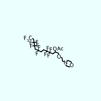 CC(=O)OC(COCCN1CCOCC1)CC(F)(F)C(F)(F)CCC(F)(F)CC(F)(F)C(F)(F)CC(F)(F)F